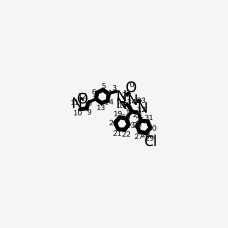 O=c1n(Cc2ccc(-c3ccno3)cc2)nc2c(-c3ccccc3)c(-c3ccc(Cl)cc3)ncn12